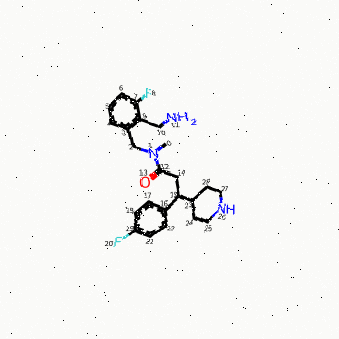 CN(Cc1cccc(F)c1CN)C(=O)CC(c1ccc(F)cc1)C1CCNCC1